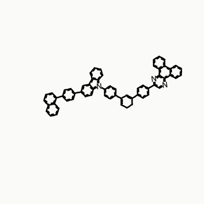 C1=C(c2ccc(-n3c4ccccc4c4cc(-c5ccc(-c6cccc7ccccc67)cc5)ccc43)cc2)C=C(c2ccc(-c3cnc4c5ccccc5c5ccccc5c4n3)cc2)CC1